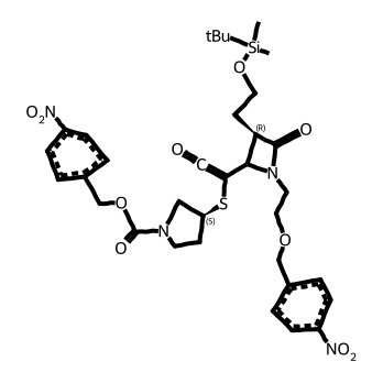 CC(C)(C)[Si](C)(C)OCC[C@H]1C(=O)N(CCOCc2ccc([N+](=O)[O-])cc2)C1C(=C=O)S[C@H]1CCN(C(=O)OCc2ccc([N+](=O)[O-])cc2)C1